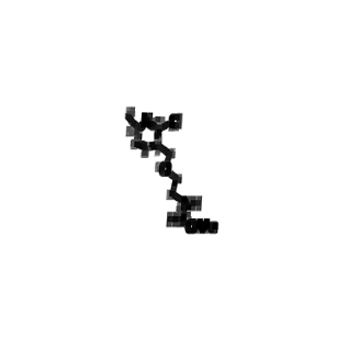 COBNCCOCc1ccc(C)nc1Cl